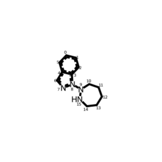 c1ccc2c(c1)cnn2N1CCCCCN1